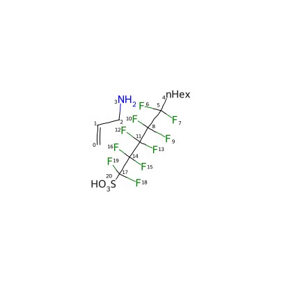 C=CCN.CCCCCCC(F)(F)C(F)(F)C(F)(F)C(F)(F)C(F)(F)S(=O)(=O)O